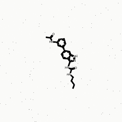 CCCCNC(=O)Nc1n[nH]c2cc(-c3cccc(NC(C)=O)c3)ccc12